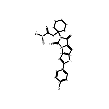 CCN(CC)C(=O)CC1(N2C(=O)c3cc4oc(-c5ccc(Cl)cc5)cc4n3C2=S)CCCCC1